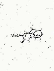 C=C(CC1C2CC3CC(C2)CC1C3)C(=O)OC